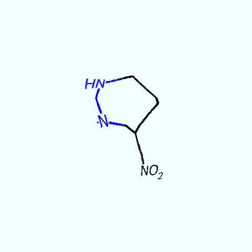 O=[N+]([O-])C1CCN[N]1